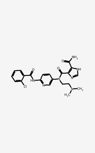 CN(C)CCN(C(=O)c1nc[nH]c1C(N)=O)c1ccc(NC(=O)c2ccccc2Cl)nc1